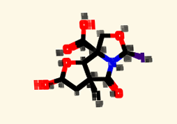 O=C1[C@@H]2CC(O)OC2[C@]2(C(=O)O)CO[C@@H](I)N12